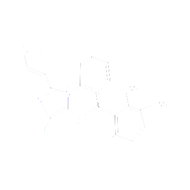 COc1cccc(C(=O)c2cc(Cl)ccc2-n2c(C=CC(=O)O)nc(Cl)c2Cl)c1OC